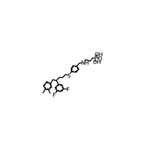 Cc1ccc(CC(CCCSc2ccc(CNCCCP(=O)(O)O)cc2)c2cc(F)cc(F)c2)cc1C